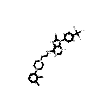 Cc1cccc(N2CCN(CCNc3ncnc4c3nc(C)n4-c3ccc(C(F)(F)F)cc3)CC2)c1C